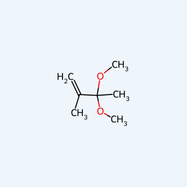 C=C(C)C(C)(OC)OC